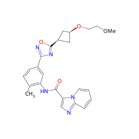 COCCO[C@H]1C[C@@H](c2nc(-c3ccc(C)c(NC(=O)c4cnc5ccccn45)c3)no2)C1